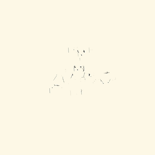 CN(C)C1CN(C(=O)Cc2ccc(F)cc2)N(C(=O)OCc2ccccc2)C1.Cl